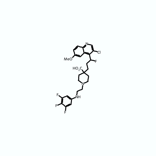 COc1ccc2ncc(Cl)c(C(F)CCC3(C(=O)O)CCN(CCNc4cc(F)c(F)c(F)c4)CC3)c2c1